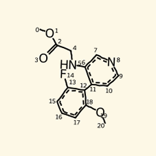 COC(=O)CNc1cnccc1-c1c(F)cccc1OC